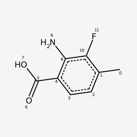 Cc1ccc(C(=O)O)c(N)c1F